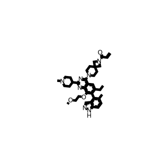 C=CC(=O)N1CC2(CCN(c3nc(C4CCN(C)CC4)nc4c(OCCOC)c(-c5c(C)ccc6[nH]ncc56)c(CC)cc34)CC2)C1